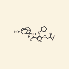 NC1(COc2noc(C(=O)N[C@H]3C4CC5CC3C[C@](O)(C5)C4)c2SC2CCCC2)CC1